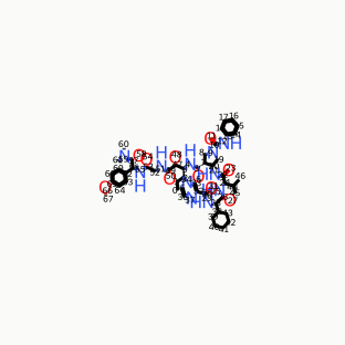 CCC[C@H](NC(=O)[C@@H]1CN(C(=O)Nc2ccccc2)C[C@@H]1NC(=O)[C@@H](NC(=O)[C@@H](NC(=O)c1cnccn1)C1CCCCC1)C(C)C)C(=O)C(=O)NCC(=O)N[C@H](C(=O)N(C)C)c1ccc(OC)cc1